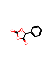 O=C1OC(=O)C(c2ccccc2)O1